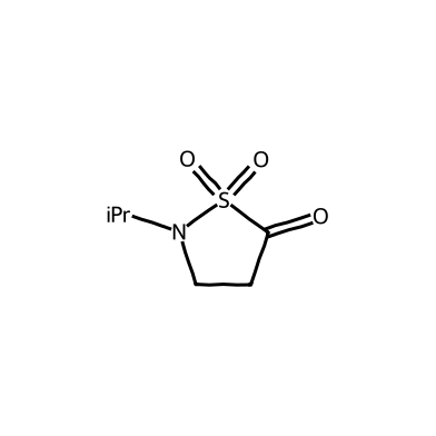 CC(C)N1CCC(=O)S1(=O)=O